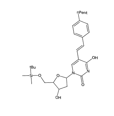 CCCCCc1ccc(/C=C/c2cn(C3CC(O)C(CO[Si](C)(C)C(C)(C)C)O3)c(=O)nc2O)cc1